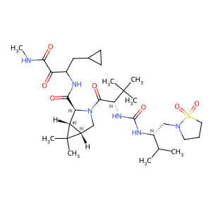 CNC(=O)C(=O)C(CC1CC1)NC(=O)[C@@H]1[C@@H]2[C@H](CN1C(=O)[C@@H](NC(=O)N[C@H](CN1CCCS1(=O)=O)C(C)C)C(C)(C)C)C2(C)C